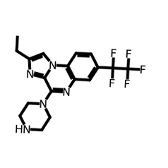 CCc1cn2c(n1)c(N1CCNCC1)nc1cc(C(F)(F)C(F)(F)F)ccc12